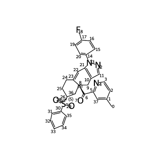 Cc1ccnc(C(=O)[C@]23Cc4cnn(-c5ccc(F)cc5)c4C=C2CC[C@H](S(=O)(=O)c2ccccc2)C3)c1